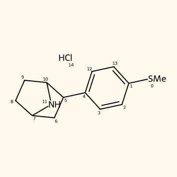 CSc1ccc(C2CC3CCC2N3)cc1.Cl